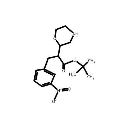 CC(C)(C)OC(=O)C(Cc1cccc([N+](=O)[O-])c1)C1CNCCO1